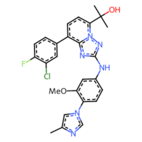 COc1cc(Nc2nc3c(-c4ccc(F)c(Cl)c4)ccc(C(C)(C)O)n3n2)ccc1-n1cnc(C)c1